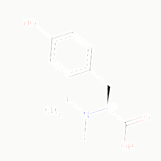 C.O=C(O)[C@H](Cc1ccc(O)cc1)N(I)I